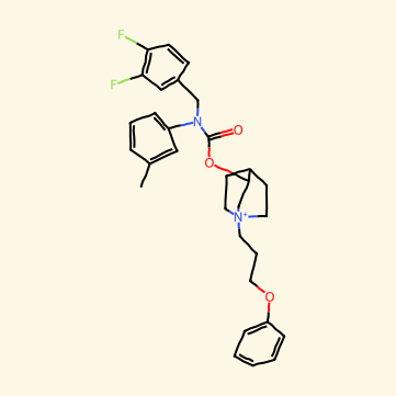 Cc1cccc(N(Cc2ccc(F)c(F)c2)C(=O)OC2C[N+]3(CCCOc4ccccc4)CCC2CC3)c1